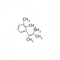 CC([SiH3])=C(C)c1cccc(C)c1C